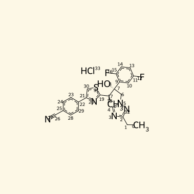 CCc1ncn(C[C@](O)(c2cc(F)ccc2F)[C@@H](C)c2nc(-c3ccc(C#N)cc3)cs2)n1.Cl